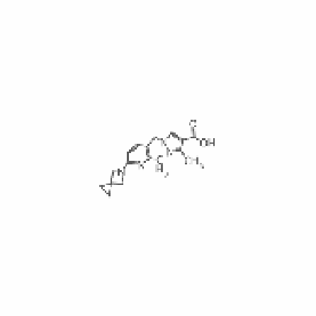 Cc1nc(N2CC3(CC3)C2)ccc1Cn1cc(C(=O)O)c(C)n1